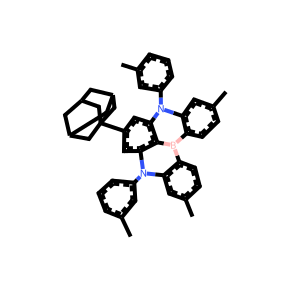 Cc1cccc(N2c3cc(C)ccc3B3c4ccc(C)cc4N(c4cccc(C)c4)c4cc(C56CC7CC(CC(C7)C5)C6)cc2c43)c1